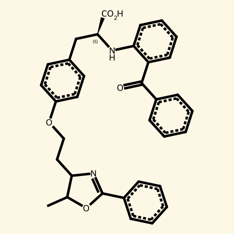 CC1OC(c2ccccc2)=NC1CCOc1ccc(C[C@H](Nc2ccccc2C(=O)c2ccccc2)C(=O)O)cc1